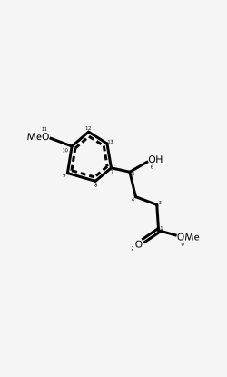 COC(=O)CCC(O)c1ccc(OC)cc1